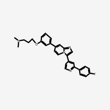 CN(C)CCCOc1cccc(-c2ccn3c(-c4ccnc(-c5ccc(F)cc5)c4)cnc3c2)c1